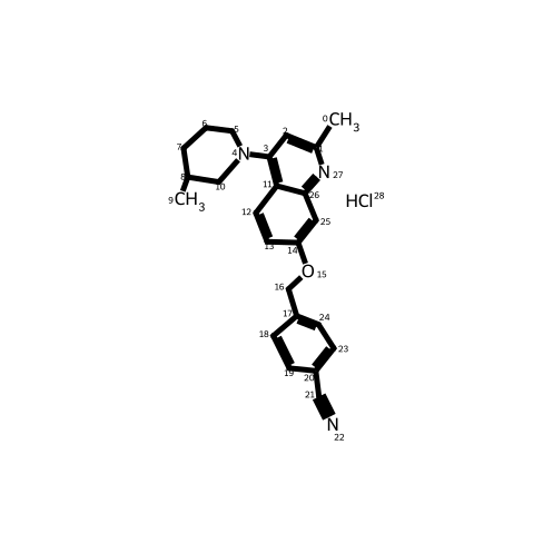 Cc1cc(N2CCCC(C)C2)c2ccc(OCc3ccc(C#N)cc3)cc2n1.Cl